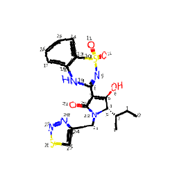 CCC(C)[C@H]1C(O)=C(C2=NS(=O)(=O)c3ccccc3N2)C(=O)N1Cc1csnn1